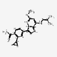 CSc1cc(NCC(C)C)c2ncc(-c3ccc(C(N)=O)c(C4CC4)c3)n2n1